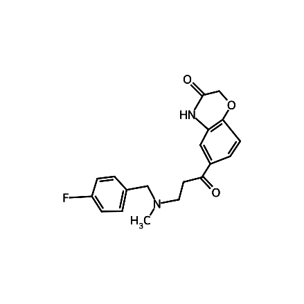 CN(CCC(=O)c1ccc2c(c1)NC(=O)CO2)Cc1ccc(F)cc1